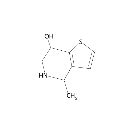 CC1NCC(O)c2sccc21